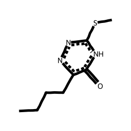 CCCCc1nnc(SC)[nH]c1=O